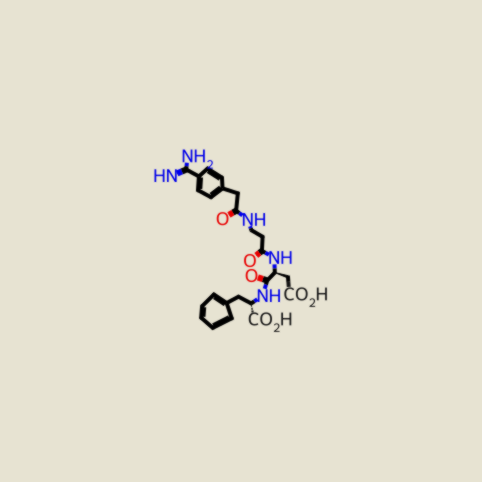 N=C(N)c1ccc(CC(=O)NCCC(=O)N[C@@H](CC(=O)O)C(=O)N[C@@H](Cc2ccccc2)C(=O)O)cc1